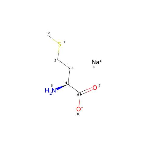 CSCC[C@H](N)C(=O)[O-].[Na+]